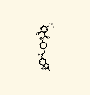 Cc1cc2cc(NCC3CCC(NC(=O)c4cc(C(F)(F)F)ccc4Cl)CC3)ccc2[nH]1